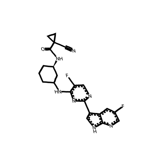 N#CC1(C(=O)N[C@@H]2CCCC(Nc3nc(-c4c[nH]c5ncc(F)cc45)ncc3F)C2)CC1